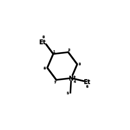 CCC1CC[N+](C)(CC)CC1